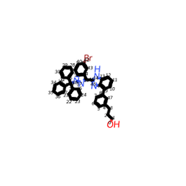 OCCCc1cccc(-c2cccc3[nH]c(-c4nn(C(c5ccccc5)(c5ccccc5)c5ccccc5)c5ccc(Br)cc45)nc23)c1